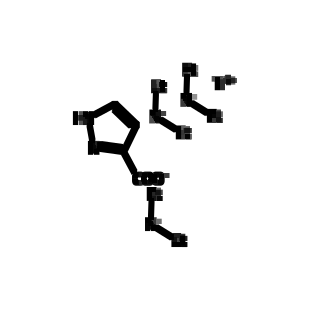 CC[N-]CC.CC[N-]CC.CC[N-]CC.O=C([O-])c1cc[nH]n1.[Ti+4]